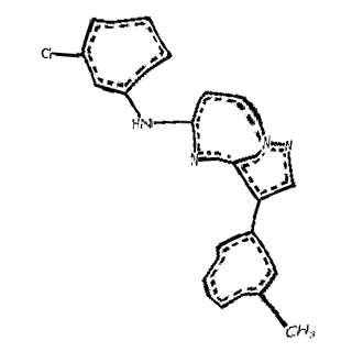 Cc1cccc(-c2cnn3ccc(Nc4cccc(Cl)c4)nc23)c1